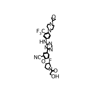 N#Cc1cc(-c2ncnc(Nc3ccc(N4CCN(C5COC5)CC4)c(C(F)(F)F)c3)n2)ccc1O[C@H]1CCN(C(=O)CO)C[C@H]1F